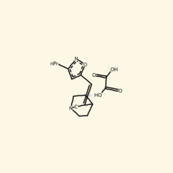 CCCc1cc(/C=C2\CN3CCC2CC3)on1.O=C(O)C(=O)O